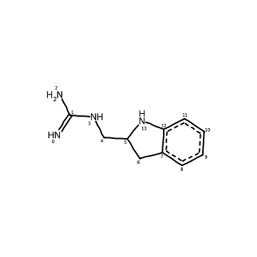 N=C(N)NCC1Cc2ccccc2N1